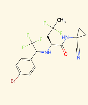 CC(F)(F)C[C@H](N[C@@H](c1ccc(Br)cc1)C(F)(F)F)C(=O)NC1(C#N)CC1